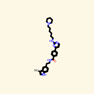 N#Cc1c[nH]c2ccc(CCNC(=O)c3ccc(-c4ccnc(NCCCCCCN5CCCCC5)n4)cc3)cc12